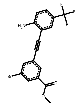 COC(=O)c1cc(Br)cc(C#Cc2cc(C(F)(F)F)ccc2N)c1